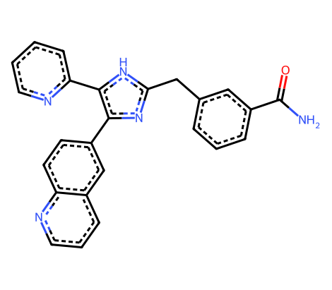 NC(=O)c1cccc(Cc2nc(-c3ccc4ncccc4c3)c(-c3ccccn3)[nH]2)c1